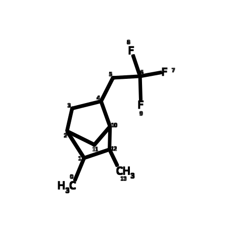 CC1C2CC(CC(F)(F)F)C(C2)C1C